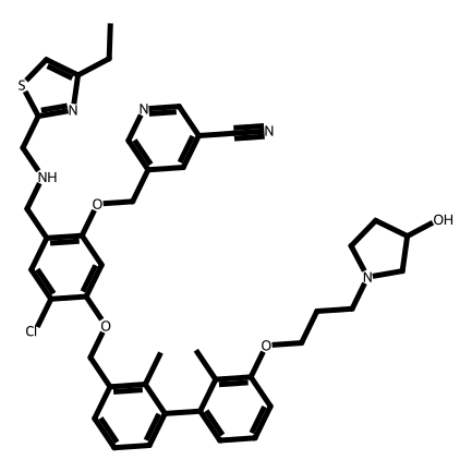 CCc1csc(CNCc2cc(Cl)c(OCc3cccc(-c4cccc(OCCCN5CCC(O)C5)c4C)c3C)cc2OCc2cncc(C#N)c2)n1